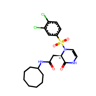 O=C(C[C@@H]1C(=O)NC=CN1S(=O)(=O)c1ccc(Cl)c(Cl)c1)NC1CCCCCCC1